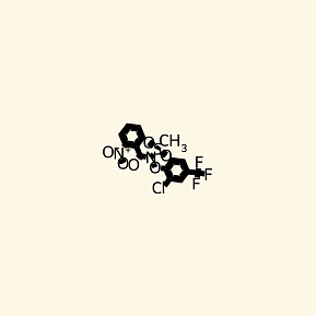 CS(=O)(=O)N(Oc1ccc(C(F)(F)F)cc1Cl)C(=O)c1ccccc1[N+](=O)[O-]